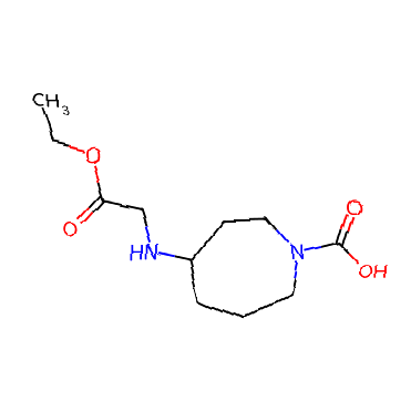 CCOC(=O)CNC1CCCN(C(=O)O)CC1